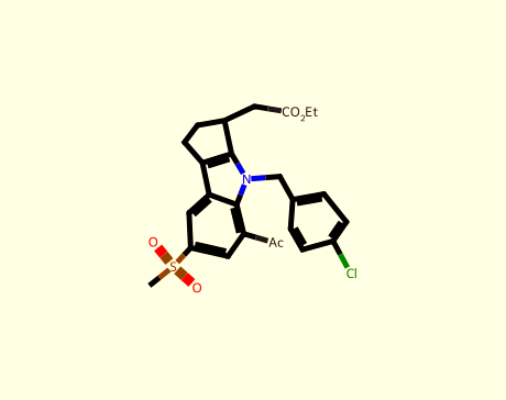 CCOC(=O)CC1CCc2c1n(Cc1ccc(Cl)cc1)c1c(C(C)=O)cc(S(C)(=O)=O)cc21